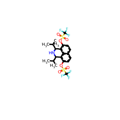 CC(C)C1NC(C(C)C)c2c(OS(=O)(=O)C(F)(F)F)ccc3ccc(OS(=O)(=O)C(F)(F)F)c1c23